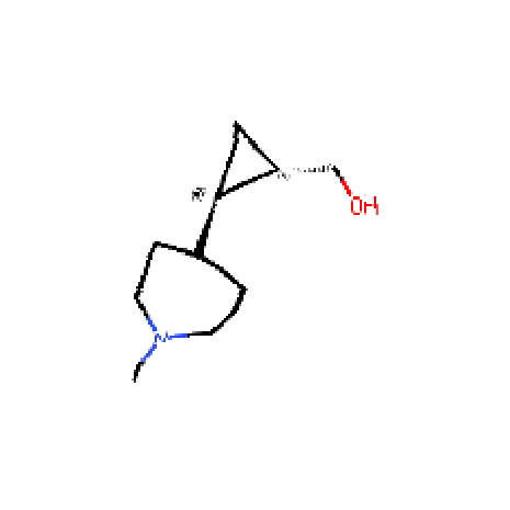 CN1CCC([C@H]2C[C@@H]2CO)CC1